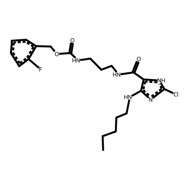 CCCCCNc1nc(Cl)[nH]c1C(=O)NCCCNC(=O)OCc1ccccc1F